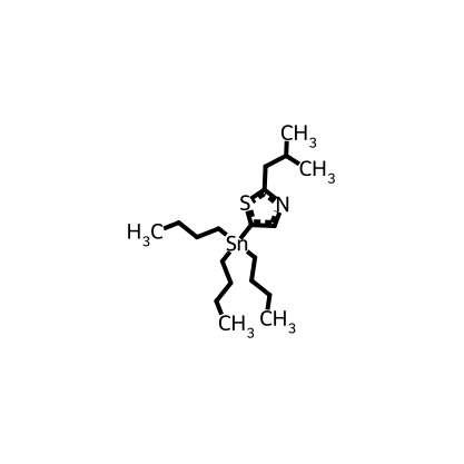 CCC[CH2][Sn]([CH2]CCC)([CH2]CCC)[c]1cnc(CC(C)C)s1